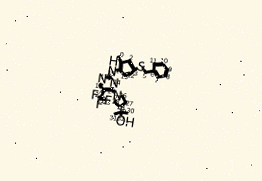 Cc1cc(SCc2ccccc2)ccc1Nc1ncc(C(F)(F)F)c(N2CC[C@H](C(C)(C)O)C2)n1